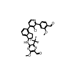 COc1cc(-c2nccc(-c3cccc4c3CCC4Nc3nc(OC)c(C=O)nc3C(F)(F)F)c2Cl)ccc1C=O